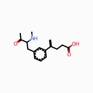 C=C(CCC(=O)O)c1cccc(CC(NC)C(C)=O)c1